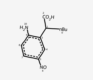 CCCCC(C(=O)O)c1cc(N=O)ccc1N